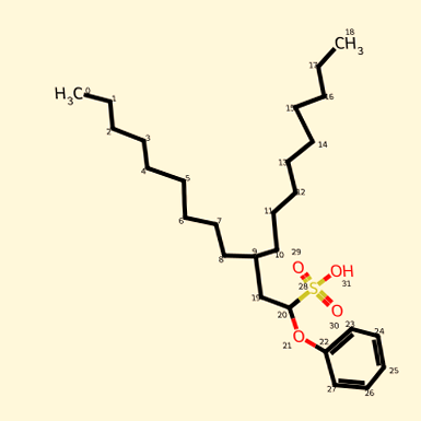 CCCCCCCCCC(CCCCCCCCC)CC(Oc1ccccc1)S(=O)(=O)O